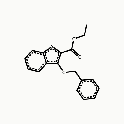 CCOC(=O)c1sc2ccccc2c1OCc1ccccc1